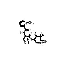 CC(C)CC(NC(=O)C(CO)NC(=O)c1cccn1C)C(=O)C1(CO)CO1